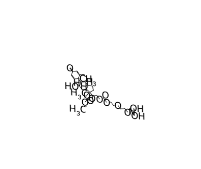 CCOC(=O)O[C@]1(C(=O)COC(=O)OCCOCCON(O)O)CC[C@H]2[C@@H]3CCC4=CC(=O)C=C[C@]4(C)[C@H]3[C@@H](O)C[C@@]21C